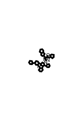 c1ccc(-c2ccc3c4cc5c(c6ccccc6n5-c5nc(-c6ccc7ccccc7c6)c6oc7ccccc7c6n5)c5c6ccccc6n(c3c2)c45)cc1